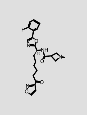 CN1CC(C(=O)N[C@@H](CCCCCC(=O)c2ccon2)c2ncc(-c3ccccc3F)o2)C1